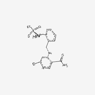 CCS(=O)(=O)Nc1ccccc1CNc1cc(Cl)ncc1C(N)=O